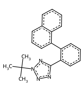 CC(C)(C)n1nnc(-c2ccccc2-c2cccc3ccccc23)n1